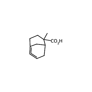 CC1(C(=O)O)CCC2=C=CCC1C2